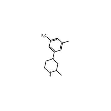 Cc1cc(N2CCNC(C)C2)cc(C(F)(F)F)c1